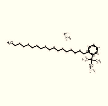 CCCCCCCCCCCCCCCCCCc1ccccc1[C](C)(C)[Mg][CH3].Cl.N